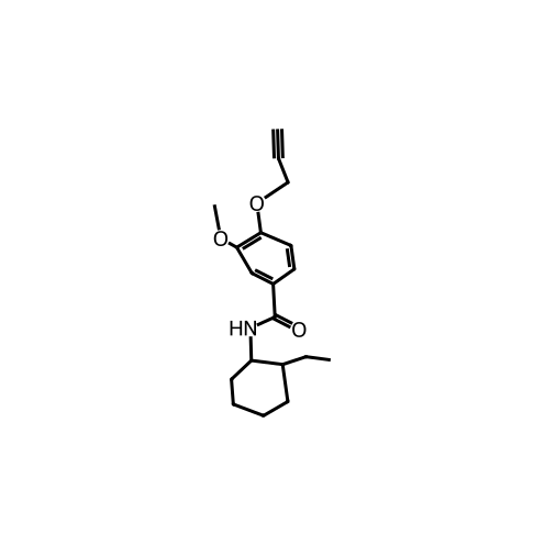 C#CCOc1ccc(C(=O)NC2CCCCC2CC)cc1OC